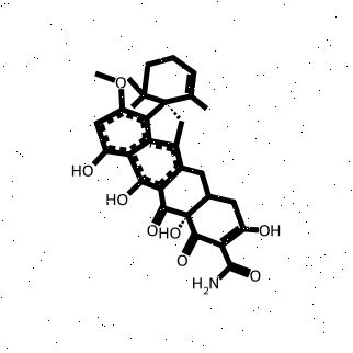 COc1cc(O)c2c(O)c3c(c4c2c1[C@]1(C4)C(C)=CCCC1(C)C)CC1CC(O)=C(C(N)=O)C(=O)[C@@]1(O)C3=O